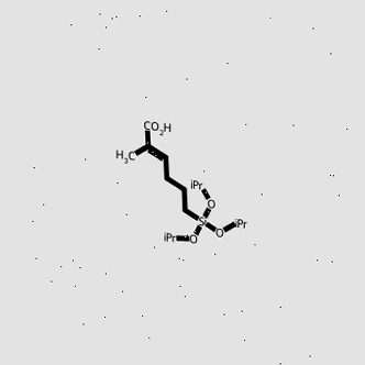 CC(=CCCC[Si](OC(C)C)(OC(C)C)OC(C)C)C(=O)O